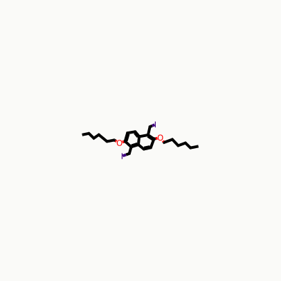 CCCCCCOc1ccc2c(CI)c(OCCCCCC)ccc2c1CI